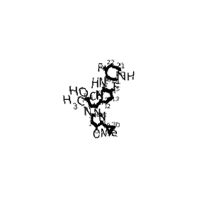 COc1cc2nc(C(C)(C)O)c(-c3ccc(F)c(N[C@H]4CNCC[C@@H]4F)n3)n2nc1C1CC1